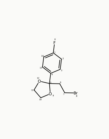 Fc1ccc(C2(CCBr)OCCO2)cc1